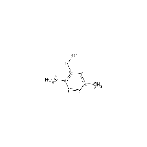 Cc1ccc(S(=O)(=O)O)c(C[O])c1